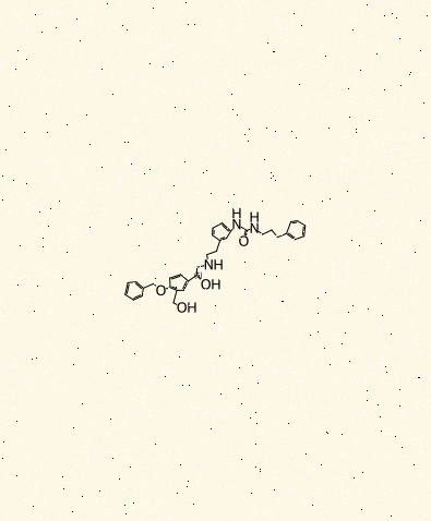 O=C(NCCCc1ccccc1)Nc1cccc(CCNC[C@@H](O)c2ccc(OCc3ccccc3)c(CO)c2)c1